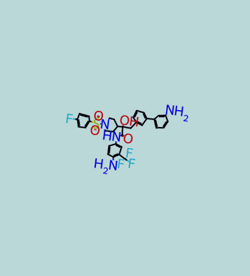 Nc1cccc(-c2cccc(CC(O)(C(=O)Nc3ccc(N)c(C(F)(F)F)c3)C3CCN(S(=O)(=O)c4ccc(F)cc4)CC3)c2)c1